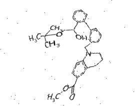 COC(=O)c1ccc2c(c1)CCCN2Cc1cccc(-c2ccccc2C(O)COC(C)(C)C)c1